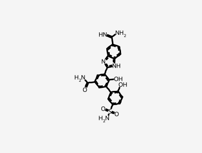 N=C(N)c1ccc2[nH]c(-c3cc(C(N)=O)cc(-c4cc(S(N)(=O)=O)ccc4O)c3O)nc2c1